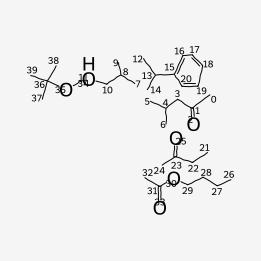 CC(=O)CC(C)C.CC(C)CO.CC(C)c1ccccc1.CCC(C)=O.CCCCOC(C)=O.COC(C)(C)C